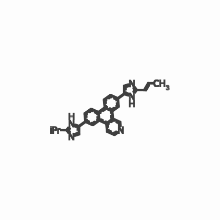 C/C=C/c1ncc(-c2ccc3c4ccc(-c5cnc(C(C)C)[nH]5)cc4c4ccncc4c3c2)[nH]1